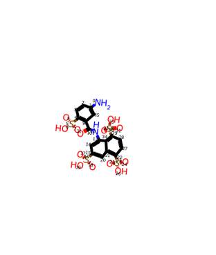 Nc1ccc(S(=O)(=O)O)c(C(=O)Nc2cc(S(=O)(=O)O)cc3c(S(=O)(=O)O)ccc(S(=O)(=O)O)c23)c1